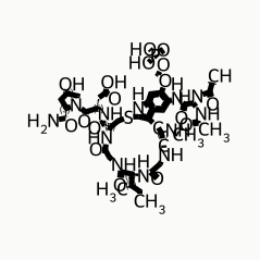 C#CC(=O)NC(NC(C)=O)C(=O)Nc1cc2c3c([nH]c2cc1OCOP(=O)(O)O)SC[C@@H](C(=O)N[C@@H](CC(=O)O)C(=O)N1C[C@H](O)C[C@H]1C(N)=O)NC(=O)CNC(=O)[C@H]([C@@H](C)CC)NC(=O)CNC[C@@H](NC)C3